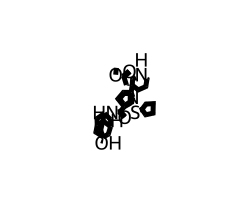 COC(=O)C[C@@]1(c2ccc(C(=O)N[C@H]3C4CC5CC3C[C@@](O)(C5)C4)c(SC3CCCC3)n2)CCCNC1